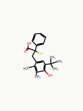 Cc1c(CC(S)(C(=O)O)c2ccccc2)cc(C(C)(C)C)c(O)c1C